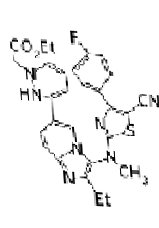 CCOC(=O)CN1C=CC=C(c2ccc3nc(CC)c(N(C)c4nc(-c5ccc(F)cc5)c(C#N)s4)n3c2)N1